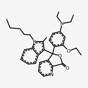 CCCCCn1c(C)c(C2(c3ccc(N(CC)CC)cc3OCC)OC(=O)c3ncccc32)c2ccccc21